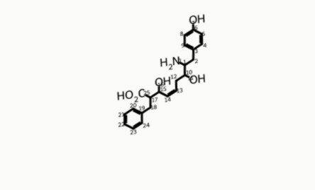 NC(Cc1ccc(O)cc1)C(O)C/C=C\C(O)C(Cc1ccccc1)C(=O)O